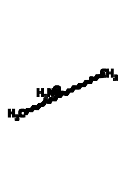 CCCCCCCCC=CCCCCCCC(CCCCCCCCCCCC)C(N)=O